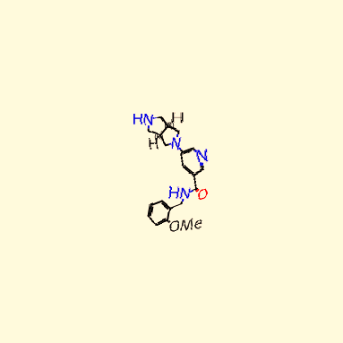 COc1ccccc1CNC(=O)c1cncc(N2C[C@H]3CNC[C@H]3C2)c1